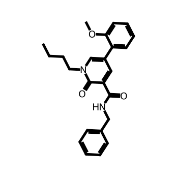 CCCCn1cc(-c2ccccc2OC)cc(C(=O)NCc2ccccc2)c1=O